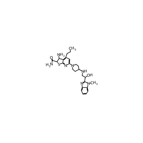 CCCc1cc(N2CCC(NCC(O)c3nc4ccccc4n3C)CC2)nc2c1C(N)C(C(N)=O)S2